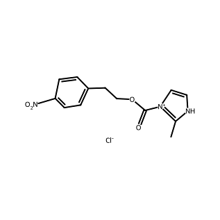 Cc1[nH]cc[n+]1C(=O)OCCc1ccc([N+](=O)[O-])cc1.[Cl-]